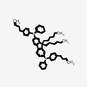 C=CCCc1ccc(N(c2ccccc2)c2ccc3c(c2)C(CCCCCC)(CCCCCC)c2cc(N(c4ccccc4)c4ccc(CCC=C)cc4)ccc2-3)cc1